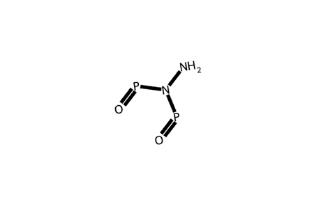 NN(P=O)P=O